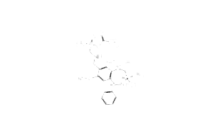 CCCC[C@]1(CC)CS(O)(O)c2cc(CNCP(=O)(O)OC(=O)C(F)(F)F)c(OC)cc2[C@@H](c2ccccc2)N1